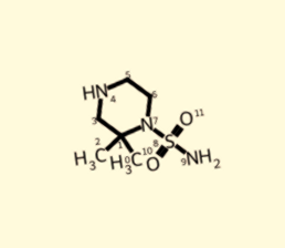 CC1(C)CNCCN1S(N)(=O)=O